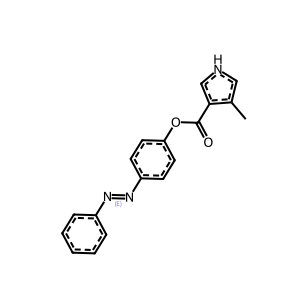 Cc1c[nH]cc1C(=O)Oc1ccc(/N=N/c2ccccc2)cc1